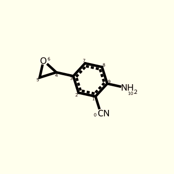 N#Cc1cc(C2CO2)ccc1N